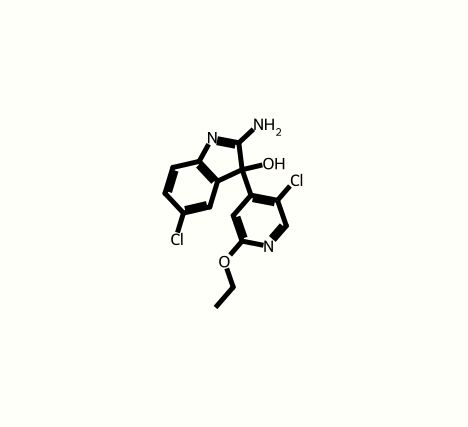 CCOc1cc(C2(O)C(N)=Nc3ccc(Cl)cc32)c(Cl)cn1